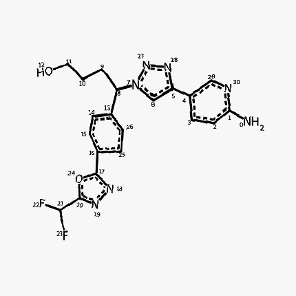 Nc1ccc(-c2cn(C(CCCO)c3ccc(-c4nnc(C(F)F)o4)cc3)nn2)cn1